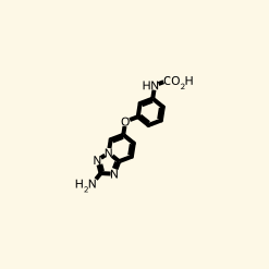 Nc1nc2ccc(Oc3cccc(NC(=O)O)c3)cn2n1